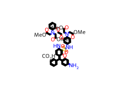 COC(=O)CN(CC(=O)OC)c1ccccc1OCCOc1cc(NS(=O)(=O)c2c3oc4cc(N)ccc4c(-c4ccccc4C(=O)O)c-3ccc2=N)ccc1N(CC(=O)OC)CC(=O)OC